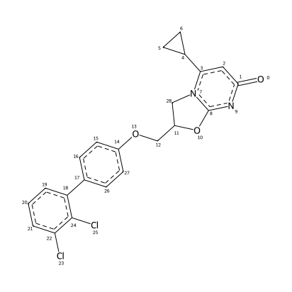 O=c1cc(C2CC2)n2c(n1)OC(COc1ccc(-c3cccc(Cl)c3Cl)cc1)C2